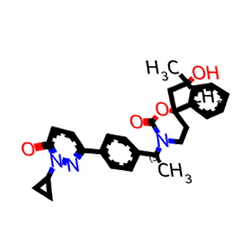 C[C@@H](c1ccc(-c2ccc(=O)n(C3CC3)n2)cc1)N1CCC(CC(C)(C)O)(c2ccccc2)OC1=O